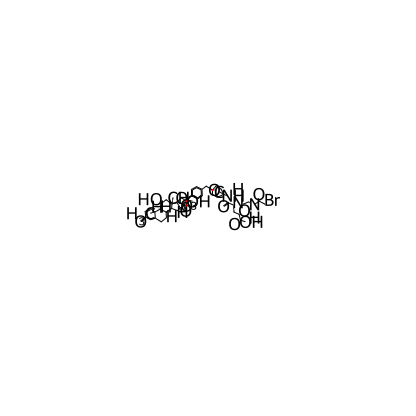 C[C@]12C=CC(=O)C=C1CC[C@@H]1[C@@H]2[C@@H](O)C[C@@]2(C)[C@H]1C[C@H]1OC(c3ccc(CC45CCC(NC(=O)[C@H](CCC(=O)O)NC(=O)CNC(=O)CBr)(CC4)CO5)cc3)O[C@]12C(=O)CO